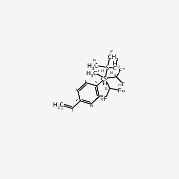 C=Cc1ccc([SH](C)(C(F)F)(C(F)F)S(C)(C)C)cc1